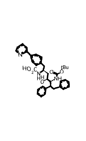 CC(C)(C)OC(=O)N[C@@H](C(Cc1ccccc1)c1ccccc1)[C@@H](O)C[C@H](Cc1ccc(-c2ccccn2)cc1)NC(=O)O